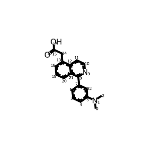 CN(C)c1cccc(-c2nccc3c(CC(=O)O)cccc23)c1